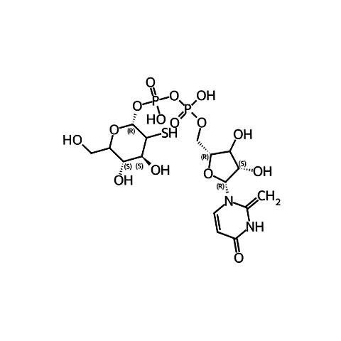 C=C1NC(=O)C=CN1[C@@H]1O[C@H](COP(=O)(O)OP(=O)(O)O[C@H]2OC(CO)[C@@H](O)[C@H](O)C2S)C(O)[C@@H]1O